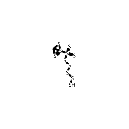 S=S(=S)(SSSSS)S12#SC1S2